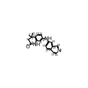 CC1(C)CC(=O)Nc2cc(Nc3ccc4ccncc4c3)ccc21